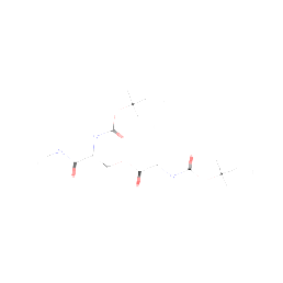 CNC(=O)[C@H](COC(=O)CNC(=O)OC(C)(C)C)NC(=O)OC(C)(C)C